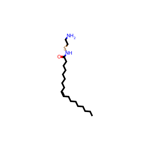 CCCCCCCC/C=C\CCCCCCCC(=O)NSCCN